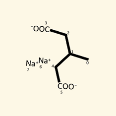 CC(CC(=O)[O-])CC(=O)[O-].[Na+].[Na+]